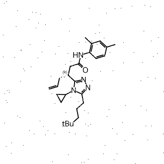 C=CC[C@H](CC(=O)Nc1ccc(C)cc1C)c1nnc(CCCC(C)(C)C)n1C1CC1